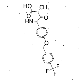 CC(C(=O)O)C(=O)C(=N)c1ccc(OCc2ccc(C(F)(F)F)cc2)cc1